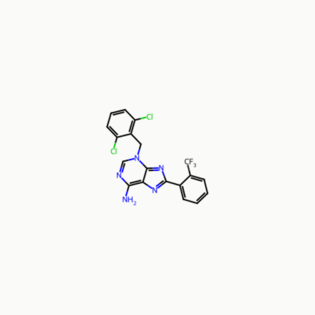 Nc1ncn(Cc2c(Cl)cccc2Cl)c2nc(-c3ccccc3C(F)(F)F)nc1-2